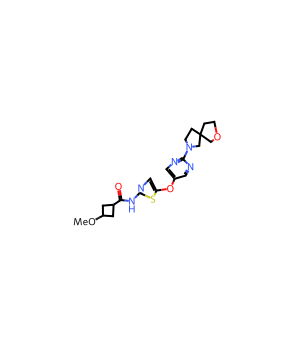 COC1CC(C(=O)Nc2ncc(Oc3cnc(N4CCC5(CCOC5)C4)nc3)s2)C1